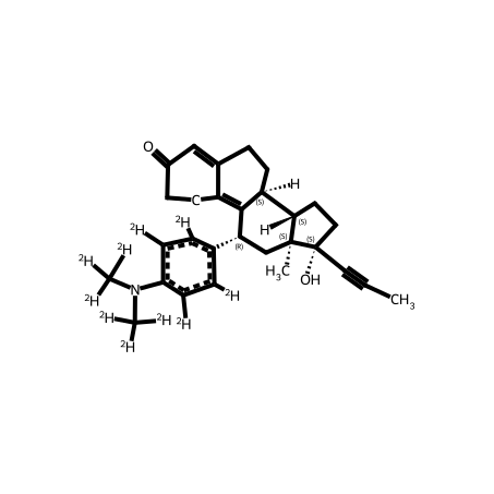 [2H]c1c([2H])c(N(C([2H])([2H])[2H])C([2H])([2H])[2H])c([2H])c([2H])c1[C@H]1C[C@@]2(C)[C@@H](CC[C@@]2(O)C#CC)[C@@H]2CCC3=CC(=O)CCC3=C21